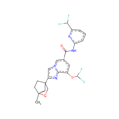 CC12CCC(c3cn4cc(C(=O)Nc5cccc(C(F)F)n5)cc(OC(F)F)c4n3)(CO1)C2